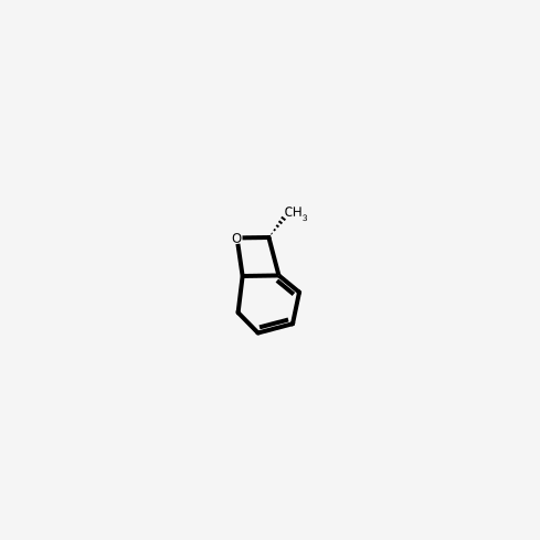 C[C@H]1OC2CC=CC=C21